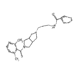 Cc1ccnc(C)c1C(=O)N1CC2CN(CCCNC(=O)c3ccccc3)CC2C1